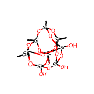 C[Si]12O[Si]3(C)O[Si]4(C)O[Si](C)(O1)O[Si]1(O)O[Si](C)(O2)O[Si](O)(O3)O[Si](O)(O4)O1